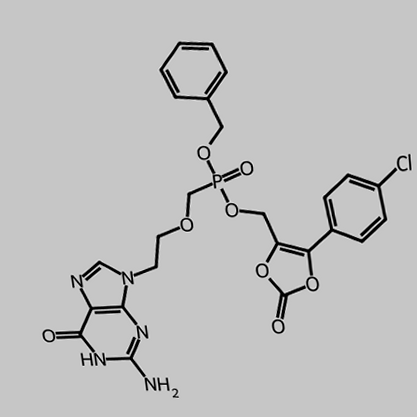 Nc1nc2c(ncn2CCOCP(=O)(OCc2ccccc2)OCc2oc(=O)oc2-c2ccc(Cl)cc2)c(=O)[nH]1